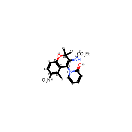 CCOC(=O)NC1=C(n2ccccc2=O)c2c(ccc([N+](=O)[O-])c2C)OC1(C)C